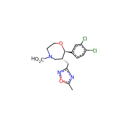 Cc1nc(C[C@@H]2CN(C(=O)O)CCO[C@H]2c2ccc(Cl)c(Cl)c2)no1